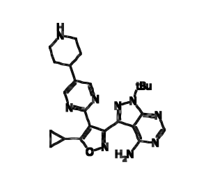 CC(C)(C)n1nc(-c2noc(C3CC3)c2-c2ncc(C3CCNCC3)cn2)c2c(N)ncnc21